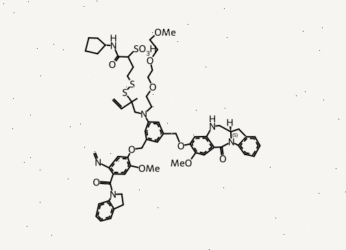 C=CC(C)(CN(CCOCCOCCOC)c1cc(COc2cc(N=C)c(C(=O)N3CCc4ccccc43)cc2OC)cc(COc2cc3c(cc2OC)C(=O)N2c4ccccc4C[C@H]2CN3)c1)SSCCC(C(=O)NC1CCCC1)S(=O)(=O)O